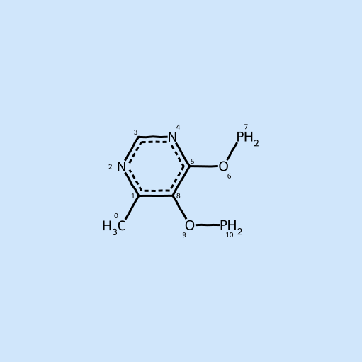 Cc1ncnc(OP)c1OP